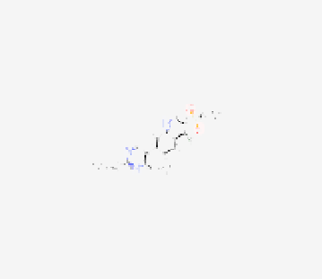 CNS(=O)(=O)c1cnc2cc(-c3cnc(OC)nc3OC)ccc2c1Cl